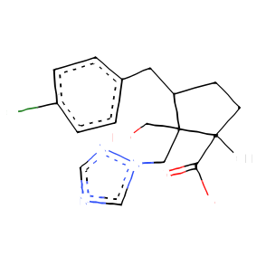 CC1(C(=O)O)CCC(Cc2ccc(Cl)cc2)C1(CO)Cn1cncn1